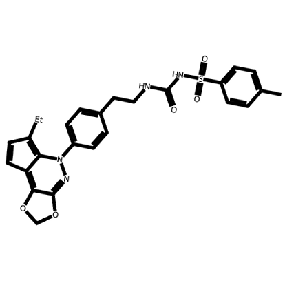 CCc1ccc2c3c(nn(-c4ccc(CCNC(=O)NS(=O)(=O)c5ccc(C)cc5)cc4)c1-2)OCO3